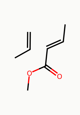 C=CC.CC=CC(=O)OC